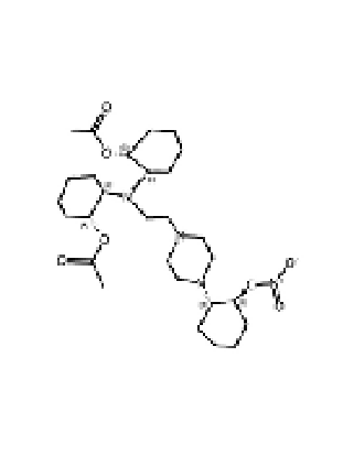 CC(=O)O[C@@H]1CCCC[C@H]1N(CCN1CCN([C@H]2CCCC[C@@H]2O[N+](=O)[O-])CC1)[C@@H]1CCCC[C@H]1OC(C)=O